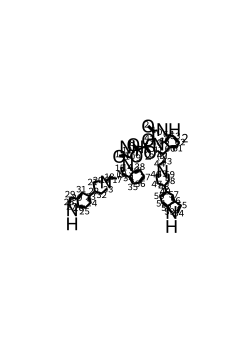 NC(=O)C(OC(=O)C(=O)OC(C(N)=O)N1C[C@@H](CCN2CCC(c3ccc4[nH]ccc4c3)CC2)c2ccccc21)N1C[C@@H](CCN2CCC(c3ccc4[nH]ccc4c3)CC2)c2ccccc21